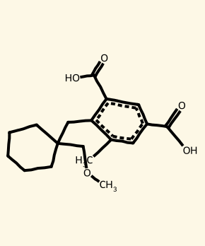 COCC1(Cc2c(C)cc(C(=O)O)cc2C(=O)O)CCCCC1